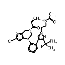 C=CC(=O)N1Cc2sc(Cl)cc2[C@H](c2ccccc2-c2cn(CCNC(C)=O)nc2C(C)(F)P)C1